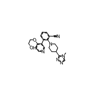 Cn1cnnc1C1CCN(c2c(C#N)cccc2-c2cnccc2OCCO)CC1